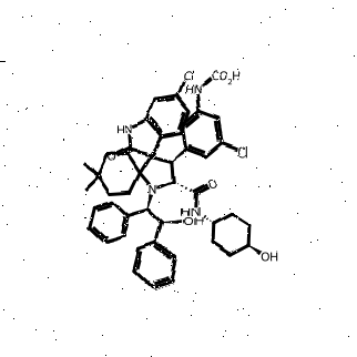 CC1(C)CCC2(CC1)N([C@H](c1ccccc1)[C@@H](O)c1ccccc1)[C@@H](C(=O)N[C@H]1CC[C@H](O)CC1)[C@H](c1cc(Cl)cc(NC(=O)O)c1)C21C(=O)Nc2cc(Cl)ccc21